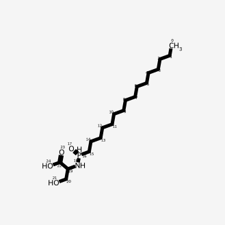 CCCCCCCCCCCCCCCC[PH](=O)NC(CO)C(=O)O